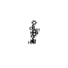 O=C(OCC1CCCCC1)[C@@H]1C[C@H]2C[C@@](F)(CCc3nn[nH]n3)CC[C@H]2CN1